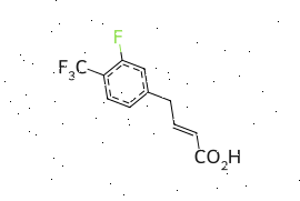 O=C(O)C=CCc1ccc(C(F)(F)F)c(F)c1